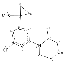 CSC1(c2cc(Cl)nc(N3CCOCC3C)c2)CC1